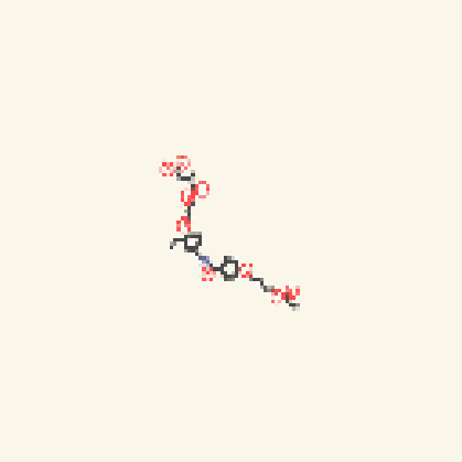 C=CC(=O)OCCCCOc1ccc(C(=O)/C=C/c2ccc(OCCCOC(=O)C(=C)CC(=O)OC)c(CC)c2)cc1